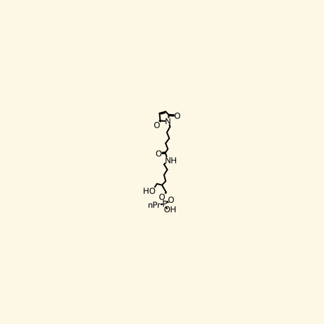 CCCP(=O)(O)OCC(CO)CCCCNC(=O)CCCCCN1C(=O)C=CC1=O